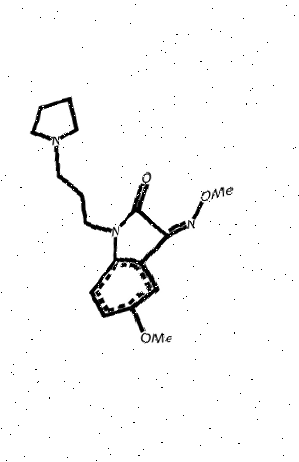 CON=C1C(=O)N(CCCN2CCCC2)c2ccc(OC)cc21